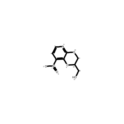 O=[N+]([O-])c1ccnc2c1OC(CO)CO2